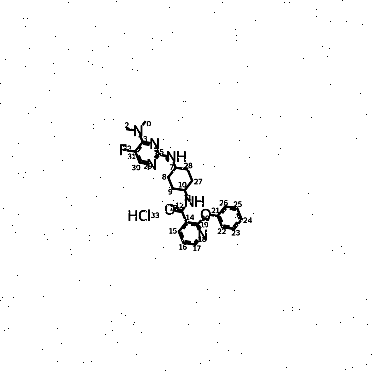 CN(C)c1nc(NC2CCC(NC(=O)c3cccnc3Oc3ccccc3)CC2)ncc1F.Cl